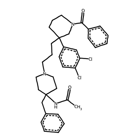 CC(=O)NC1(Cc2ccccc2)CCN(CCCC2(c3ccc(Cl)c(Cl)c3)CCCN(C(=O)c3ccccc3)C2)CC1